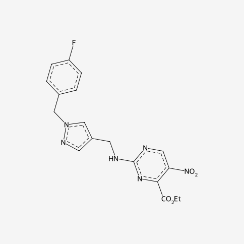 CCOC(=O)c1nc(NCc2cnn(Cc3ccc(F)cc3)c2)ncc1[N+](=O)[O-]